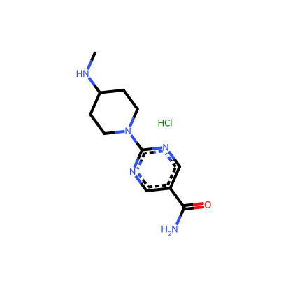 CNC1CCN(c2ncc(C(N)=O)cn2)CC1.Cl